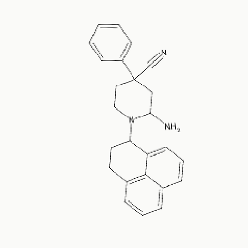 N#CC1(c2ccccc2)CCN(C2CCc3cccc4cccc2c34)C(N)C1